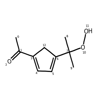 CC(=O)C1=CC=C(C(C)(C)OO)C1